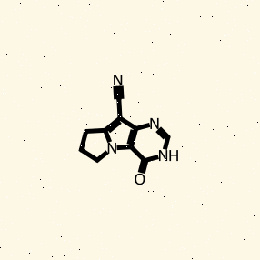 N#Cc1c2n(c3c(=O)[nH]cnc13)CCC2